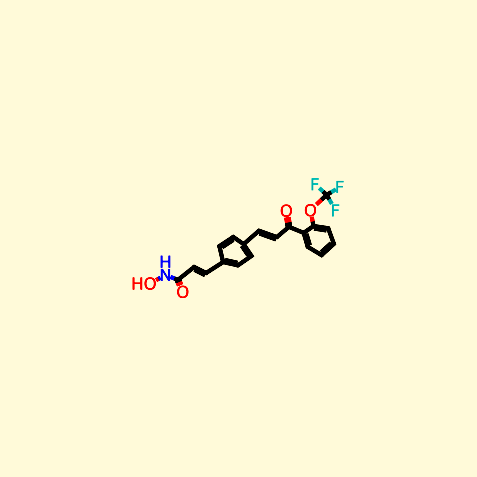 O=C(C=Cc1ccc(C=CC(=O)c2ccccc2OC(F)(F)F)cc1)NO